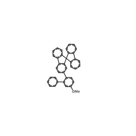 COc1ccc(-c2ccc3c(c2)C2(c4ccccc4-c4ccccc42)c2ccccc2-3)c(-c2ccccc2)c1